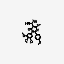 CNC(=N)c1c(SC)nc(-c2ccc(SC)cc2)n(-c2cc(OC)c(OC)c(OC)c2)c1=O